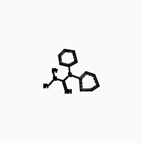 CC(C)N(C(=N)N(c1ccccc1)c1ccccc1)C(C)C